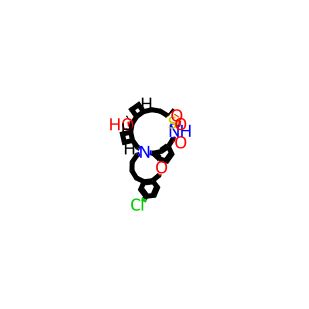 C[C@@H]1CC[C@H]2CCC2[C@](C)(O)[C@@H]2CC[C@H]2CN2CCCCc3cc(Cl)ccc3COc3ccc(cc32)C(=O)NS1(=O)=O